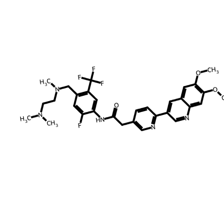 COc1cc2cc(-c3ccc(CC(=O)Nc4cc(C(F)(F)F)c(CN(C)CCN(C)C)cc4F)cn3)cnc2cc1OC